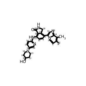 Cc1c(F)ccn2c(-c3ccc(Nc4ccc(N5CCC(O)CC5)cn4)c4c3CNC4=O)cnc12